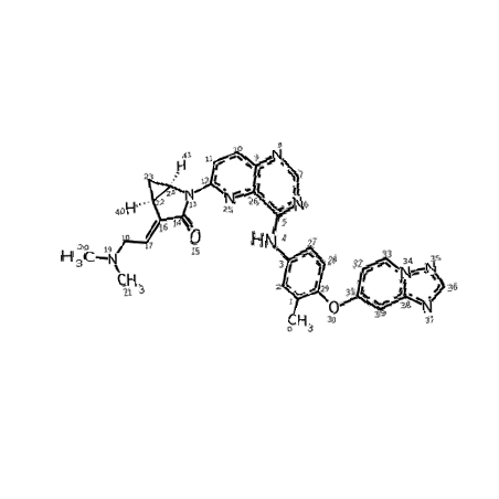 Cc1cc(Nc2ncnc3ccc(N4C(=O)/C(=C/CN(C)C)[C@H]5C[C@H]54)nc23)ccc1Oc1ccn2ncnc2c1